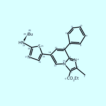 CCOC(=O)c1c(C)nc2c(-c3ccccc3)cc(-c3cnc(N[C@H](C)CC)s3)cn12